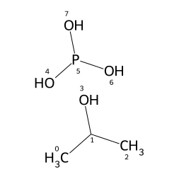 CC(C)O.OP(O)O